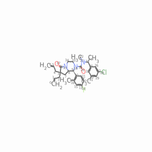 C=CCC1(CC=C)CC2[C@H](c3ccc(F)cc3C)N(C(=O)N(C)[C@H](C)c3cc(Cl)cc(C(F)(F)F)c3)CCN2C1=O